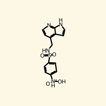 O=S(=O)(NCc1ccnc2[nH]ccc12)c1ccc([NH+]([O-])O)cc1